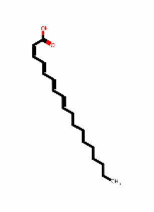 CCCCCCCCCC=CC=CC=C/C=C\C(=O)O